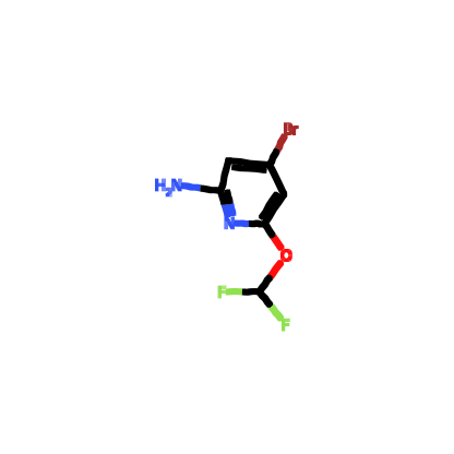 Nc1cc(Br)cc(OC(F)F)n1